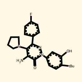 CC(C)(C)c1ccc(-n2nc(-c3ccc(F)cc3)c(N3CCCC3)c(N)c2=O)cc1O